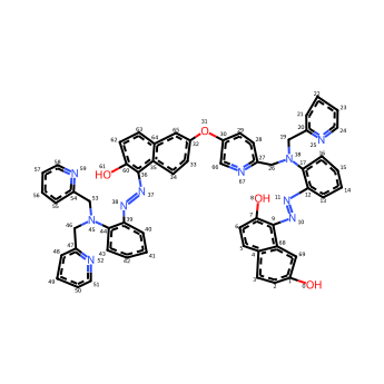 Oc1ccc2ccc(O)c(/N=N/c3ccccc3N(Cc3ccccn3)Cc3ccc(Oc4ccc5c(/N=N/c6ccccc6N(Cc6ccccn6)Cc6ccccn6)c(O)ccc5c4)cn3)c2c1